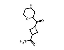 NC(=O)C1CN(C(=O)C2CNCCO2)C1